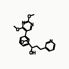 COc1ncc(-c2cc3ccc2C([C@H](O)CCc2cccnc2)O3)c(OC)n1